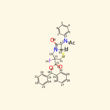 CC(=O)N(c1ccccc1)C1C(=O)N2CC(I)(C(=O)OC(c3ccccc3)c3ccccc3)CS[C@H]12